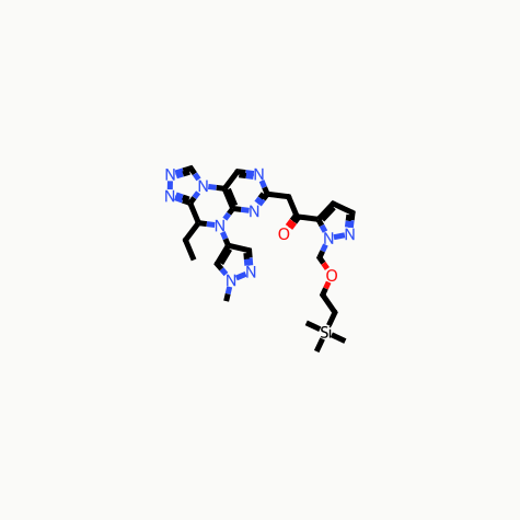 CCC1c2nncn2-c2cnc(CC(=O)c3ccnn3COCC[Si](C)(C)C)nc2N1c1cnn(C)c1